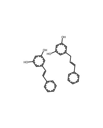 Oc1cc(O)cc(C=Cc2ccccc2)c1.Oc1cc(O)cc(CC=Cc2ccccc2)c1